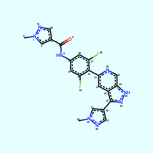 Cn1cc(C(=O)Nc2cc(F)c(-c3cc4c(-c5cnn(C)c5)n[nH]c4cn3)c(F)c2)cn1